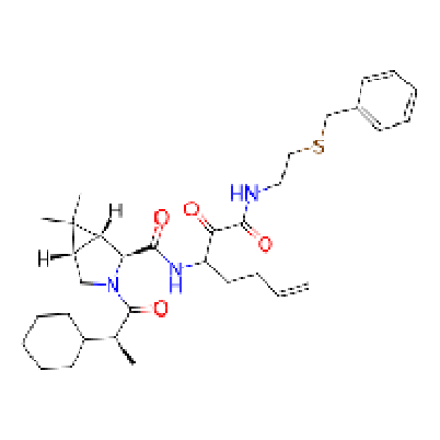 C=CCCC(NC(=O)[C@@H]1[C@@H]2[C@H](CN1C(=O)[C@@H](C)C1CCCCC1)C2(C)C)C(=O)C(=O)NCCSCc1ccccc1